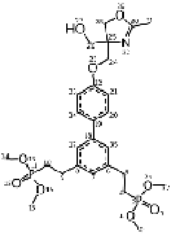 COP(=O)(CCc1cc(CCP(=O)(OC)OC)cc(-c2ccc(OCC3(CO)COC(C)=N3)cc2)c1)OC